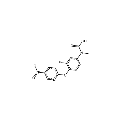 CN(C(=O)O)c1ccc(Oc2ccc([N+](=O)[O-])cn2)c(F)c1